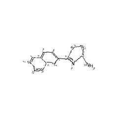 Nc1nsc(-c2ccc3cnccc3c2)n1